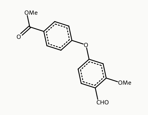 COC(=O)c1ccc(Oc2ccc(C=O)c(OC)c2)cc1